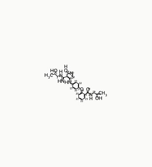 CC(O)CNC(=N)c1c(O)nsc1Nc1ccc(Oc2ccccc2C(=O)NCC(C)O)cc1